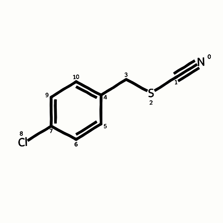 N#CSCc1ccc(Cl)cc1